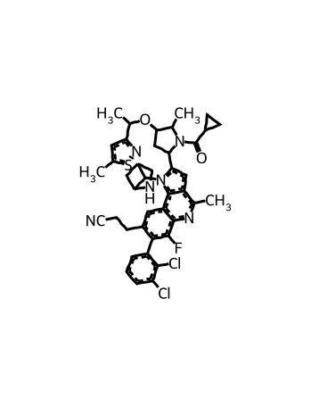 Cc1cc(C(C)OC2CC(c3cc4c(C)nc5c(F)c(-c6cccc(Cl)c6Cl)c(CCC#N)cc5c4n3C3C4CNC3C4)N(C(=O)C3CC3)C2C)ns1